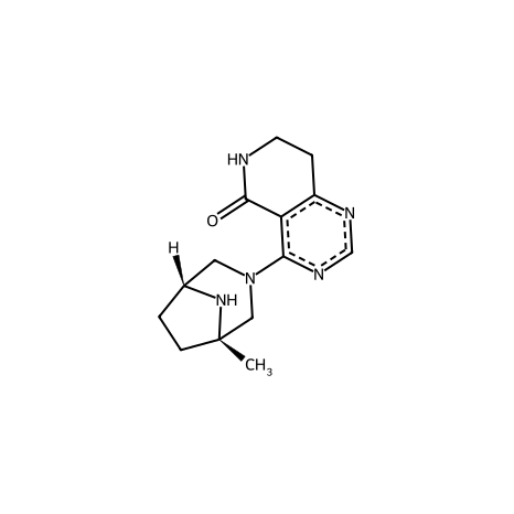 C[C@]12CC[C@H](CN(c3ncnc4c3C(=O)NCC4)C1)N2